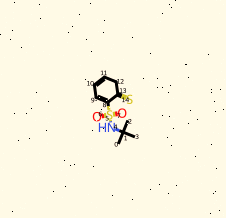 CC(C)(C)NS(=O)(=O)C1=[C]C=CCC1=S